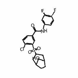 O=C(Nc1ccc(F)c(F)c1)c1ccc(Cl)c(S(=O)(=O)C2CC3CCC(C2)C3O)c1